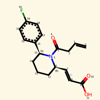 C=CCC(=O)N1[C@@H](/C=C/C(=O)O)CCC[C@H]1c1ccc(F)cc1